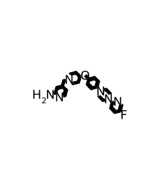 Nc1cc(CN2CCC(Oc3ccc(N4CCN(c5ccc(F)cn5)CC4)cc3)CC2)ccn1